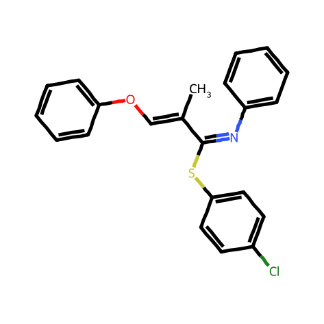 CC(=C\Oc1ccccc1)/C(=N\c1ccccc1)Sc1ccc(Cl)cc1